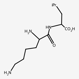 CC(C)CC(NC(=O)C(N)CCCCN)C(=O)O